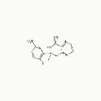 CC1(c2cc([N+](=O)[O-])ccc2F)Cc2nccnc2C(=N)N1